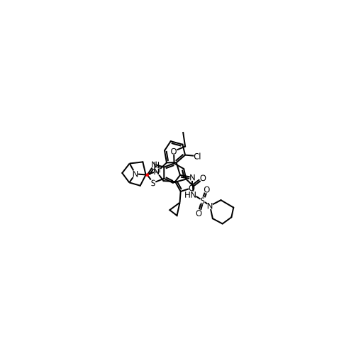 CCOc1cc(C(=O)NS(=O)(=O)N2CCCCC2)cc2sc(N3C4CC(NCc5c(-c6c(Cl)cccc6Cl)noc5C5CC5)CC3C4)nc12